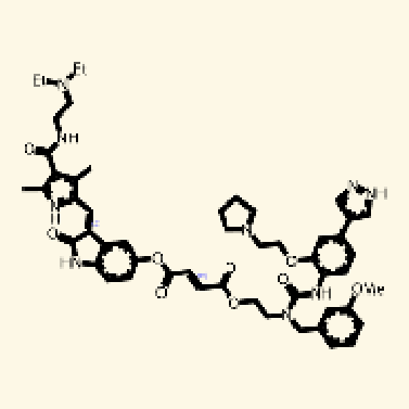 CCN(CC)CCNC(=O)c1c(C)[nH]c(/C=C2\C(=O)Nc3ccc(OC(=O)/C=C/C(=O)OCCN(Cc4cccc(OC)c4)C(=O)Nc4ccc(-c5cn[nH]c5)cc4OCCN4CCCC4)cc32)c1C